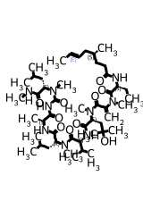 C=C(C(=O)N(C)[C@@H](CC(C)(C)O)C(=O)N[C@H](C(=O)N(C)[C@H](CC(C)C)C(=O)N[C@@H](C)C(=O)NC(=O)N(C)[C@@H](CC(C)C)C(=O)NC)C(C)C)N(C)C(=O)[C@H](CC)NC(=O)CC[C@H](C)C/C=C/C